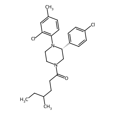 CCC(C)CCC(=O)N1CCN(c2ccc(C)cc2Cl)[C@H](c2ccc(Cl)cc2)C1